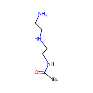 CCC(C)C(=O)NCCNCCN